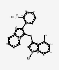 CCn1cc(Cc2c(-c3ccccc3C(=O)O)nc3ccccn23)c2c(C)cccc21